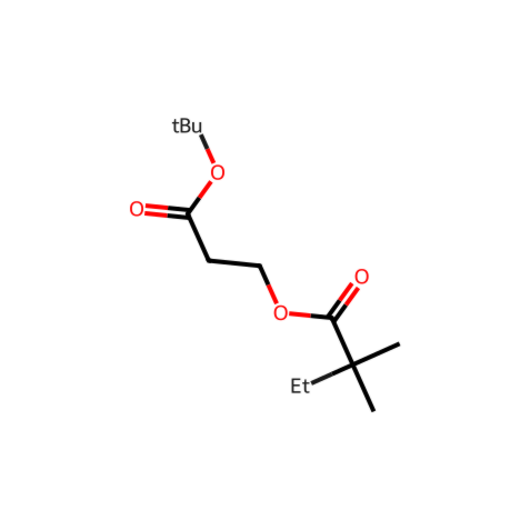 CCC(C)(C)C(=O)OCCC(=O)OC(C)(C)C